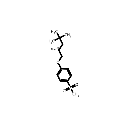 CC(C)(C)C[C@@H](F)COc1ccc(S(C)(=O)=O)cc1